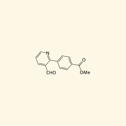 COC(=O)c1ccc(-c2ncccc2C=O)cc1